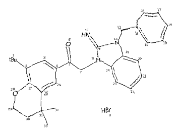 Br.CC(C)(C)c1cc(C(=O)Cn2c(=N)n(Cc3ccccc3)c3ccccc32)cc2c1OCCC2(C)C